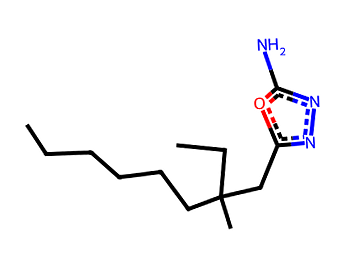 CCCCCCC(C)(CC)Cc1nnc(N)o1